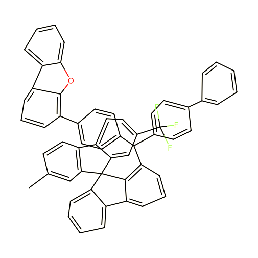 Cc1ccc2c(c1)C1(c3cc(C(F)(F)F)ccc3-2)c2ccccc2-c2cccc(C(c3ccc(-c4ccccc4)cc3)c3ccc(-c4cccc5c4oc4ccccc45)cc3)c21